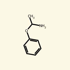 C[C](N)Oc1ccccc1